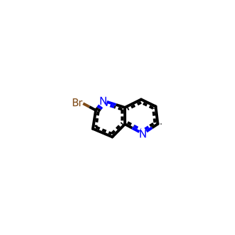 Brc1ccc2n[c]ccc2n1